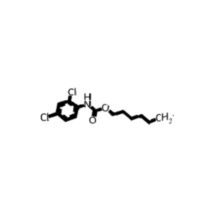 [CH2]CCCCCOC(=O)Nc1ccc(Cl)cc1Cl